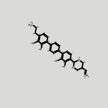 C=CC1COC(c2ccc(-c3ccc(-c4ccc(CCC)c(F)c4F)cc3)c(F)c2F)OC1